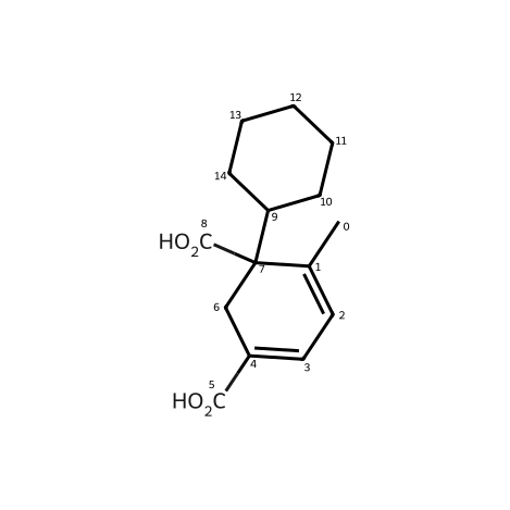 CC1=CC=C(C(=O)O)CC1(C(=O)O)C1CCCCC1